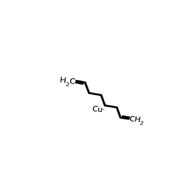 C=CCCCCC=C.[Cu]